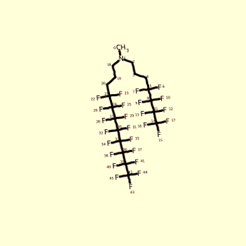 CN(CCCC(F)(F)C(F)(F)C(F)(F)C(F)(F)F)CCCC(F)(F)C(F)(F)C(F)(F)C(F)(F)C(F)(F)C(F)(F)C(F)(F)C(F)(F)F